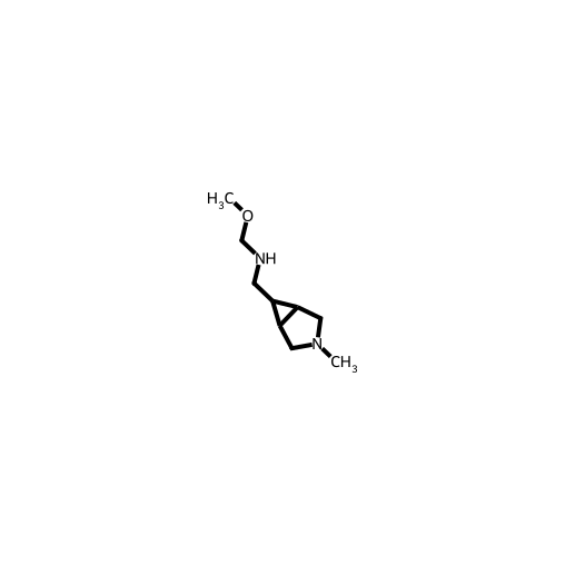 COCNCC1C2CN(C)CC12